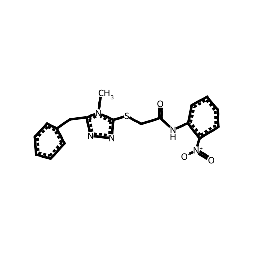 Cn1c(Cc2ccccc2)nnc1SCC(=O)Nc1ccccc1[N+](=O)[O-]